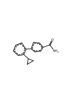 NC(=O)c1ccc(-c2ccccc2C2CC2)cc1